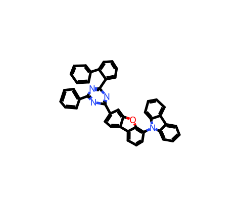 c1ccc(-c2nc(-c3ccc4c(c3)oc3c(-n5c6ccccc6c6ccccc65)cccc34)nc(-c3ccccc3-c3ccccc3)n2)cc1